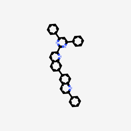 c1ccc(-c2cc(-c3ccccc3)nc(-c3ccc4ccc(-c5ccc6nc(-c7ccccc7)ccc6c5)cc4n3)n2)cc1